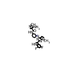 Cn1ncc(C(=O)N[C@H]2CCC/C(=N\c3nc(-c4c[nH]c5c(F)cc(F)cc45)nc4c3ccn4C)C2)c1N